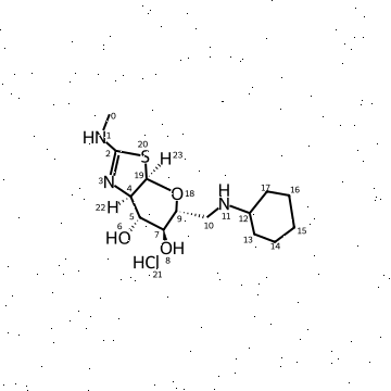 CNC1=N[C@@H]2[C@@H](O)[C@H](O)[C@@H](CNC3CCCCC3)O[C@@H]2S1.Cl